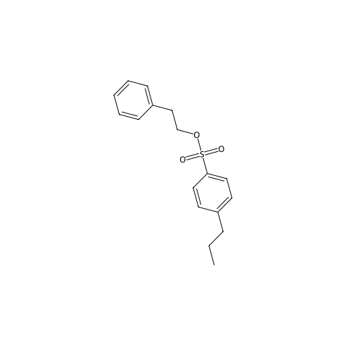 CCCc1ccc(S(=O)(=O)OCCc2ccccc2)cc1